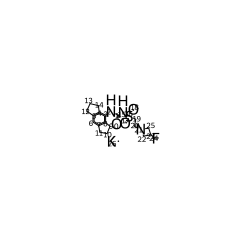 O=C(Nc1c2c(cc3c1CCC3)CCC2)NS(=O)(=O)CCN1CC(F)C1.[K]